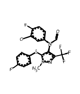 Cn1nc(C(F)(F)F)c(N(C=O)c2ccc(F)c(Cl)c2)c1Sc1ccc(F)cc1